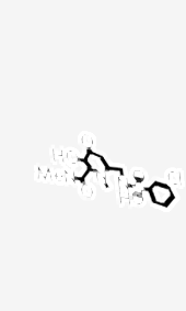 CNC(=O)c1c(O)c(=O)cc(CNS(=O)(=O)c2cccc(Cl)c2)n1C